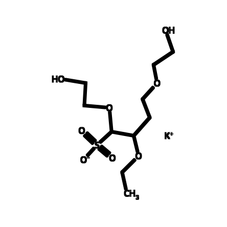 CCOC(CCOCCO)C(OCCO)S(=O)(=O)[O-].[K+]